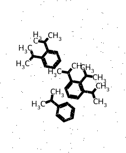 CC(C)c1cccc(C(C)C)c1C(C)C.CC(C)c1ccccc1.CC(C)c1ccccc1C(C)C